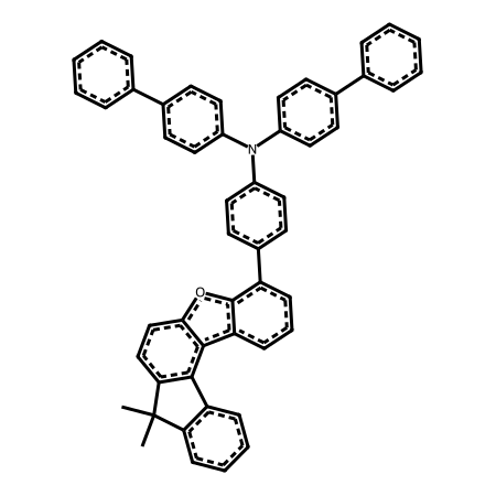 CC1(C)c2ccccc2-c2c1ccc1oc3c(-c4ccc(N(c5ccc(-c6ccccc6)cc5)c5ccc(-c6ccccc6)cc5)cc4)cccc3c21